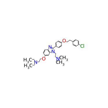 CCN(CC)CCOc1ccc2nc(-c3ccc(OCCc4ccc(Cl)cc4)cc3)n(CCN(C)C)c2c1